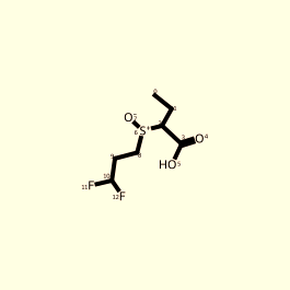 CCC(C(=O)O)[S+]([O-])CCC(F)F